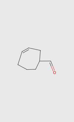 O=CC1CC=CCCC1